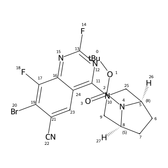 CC(C)(C)OC(=O)N1[C@@H]2CC[C@H]1CN(c1nc(F)nc3c(F)c(Br)c(C#N)cc13)C2